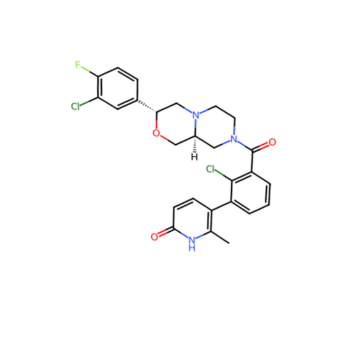 Cc1[nH]c(=O)ccc1-c1cccc(C(=O)N2CCN3C[C@@H](c4ccc(F)c(Cl)c4)OC[C@@H]3C2)c1Cl